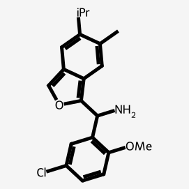 COc1ccc(Cl)cc1C(N)c1occ2cc(C(C)C)c(C)cc12